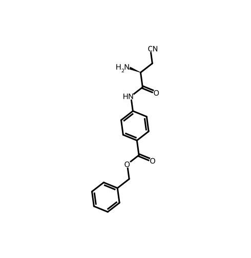 N#CC[C@H](N)C(=O)Nc1ccc(C(=O)OCc2ccccc2)cc1